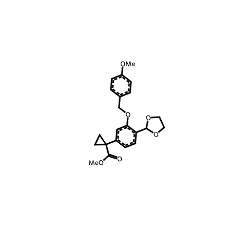 COC(=O)C1(c2ccc(C3OCCO3)c(OCc3ccc(OC)cc3)c2)CC1